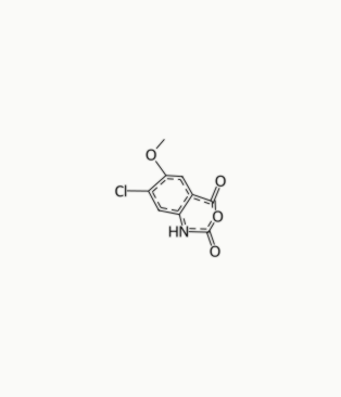 COc1cc2c(=O)oc(=O)[nH]c2cc1Cl